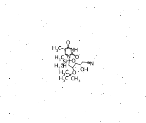 Cc1cn([C@@]2([SiH](C)C)C[C@H](OC(C)(C)C)[C@@H]([C@@H](O)CC#N)O2)c(=O)[nH]c1=O